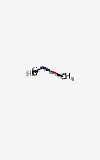 CCCCC/C=C/C/C=C/C/C=C/C/C=C\CCCC(=O)O